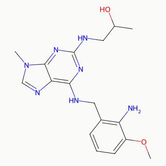 COc1cccc(CNc2nc(NCC(C)O)nc3c2ncn3C)c1N